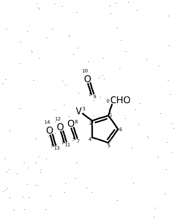 O=CC1=[C]([V])CC=C1.[C]=O.[C]=O.[C]=O.[C]=O